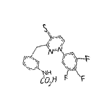 O=C(O)Nc1cccc(Cc2nn(-c3cc(F)c(F)c(F)c3)ccc2=S)c1